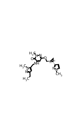 CCc1cc(CNc2cc(OC[C@H]3C[C@@H]3c3ccn(C)n3)nn(C)c2=O)n(C)n1